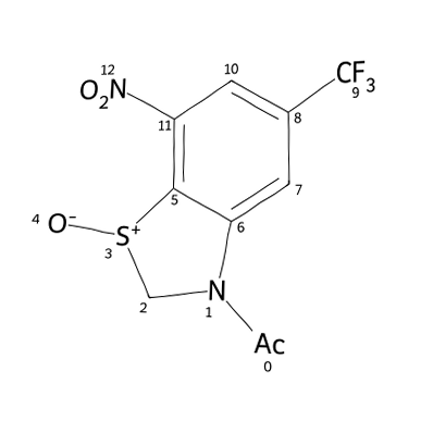 CC(=O)N1C[S+]([O-])c2c1cc(C(F)(F)F)cc2[N+](=O)[O-]